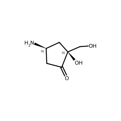 N[C@@H]1CC(=O)[C@@](O)(CO)C1